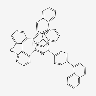 c1ccc2cc(-c3cccc4oc5cccc(C6=NC(c7ccc(-c8cccc9ccccc89)cc7)=NC(c7ccc8ccccc8c7)N6)c5c34)ccc2c1